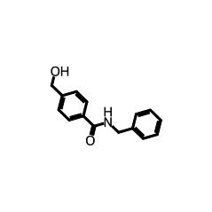 O=C(NCc1ccccc1)c1ccc(CO)cc1